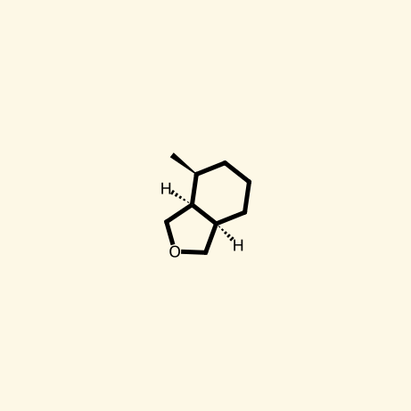 C[C@H]1CCC[C@H]2COC[C@H]21